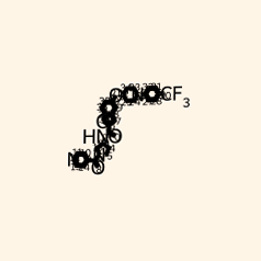 O=C(N[C@@H]1CCN(C(=O)c2ccncc2)C1)c1cc2cc(OC3CCN(c4ccc(C(F)(F)F)cc4)CC3)ccc2o1